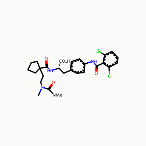 CNC(=O)N(C)CCC1(C(=O)N[C@@H](Cc2ccc(NC(=O)c3c(Cl)cccc3Cl)cc2)C(=O)O)CCCC1